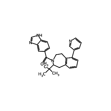 CC(C)(C)C1Cc2cccc(-c3cccnc3)c2CCN1C(=O)c1ccc2[nH]cnc2c1